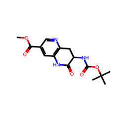 COC(=O)c1cnc2c(c1)NC(=O)C(NC(=O)OC(C)(C)C)C2